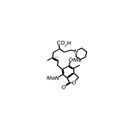 CNc1c(C/C=C(\C)CC(CCN2CCCCC2)C(=O)O)c(OC)c(C)c2c1C(=O)OC2